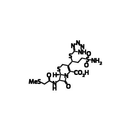 CSCC(=O)NC1C(=O)N2C(C(=O)O)=C(C(CCS(N)(=O)=O)Sc3nnn[nH]3)CS[C@@H]12